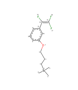 C[Si](C)(C)CCCOc1cccc(C(F)=C(F)F)c1